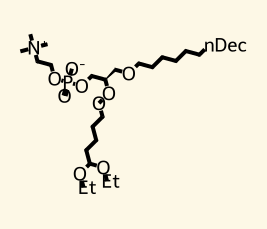 CCCCCCCCCCCCCCCCOC[C@H](COP(=O)([O-])OCC[N+](C)(C)C)OOCCCCC(OCC)OCC